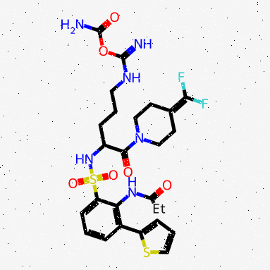 CCC(=O)Nc1c(-c2cccs2)cccc1S(=O)(=O)NC(CCCNC(=N)OC(N)=O)C(=O)N1CCC(=C(F)F)CC1